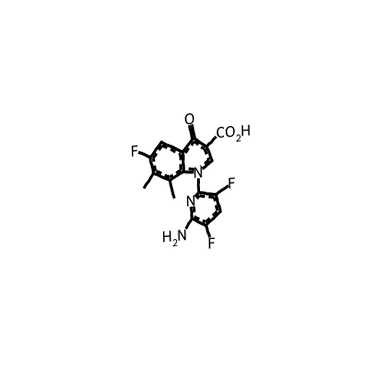 Cc1c(F)cc2c(=O)c(C(=O)O)cn(-c3nc(N)c(F)cc3F)c2c1C